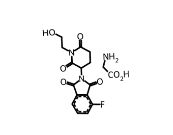 NCC(=O)O.O=C1CCC(N2C(=O)c3cccc(F)c3C2=O)C(=O)N1CCO